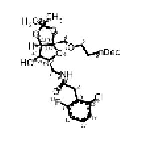 CCCCCCCCCCCCOC[C@@]12O[C@@H](CNC(=O)Cc3c(F)cccc3Cl)[C@@H](O)[C@@H]1OC(C)(C)O2